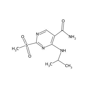 CC(C)Nc1nc(S(C)(=O)=O)ncc1C(N)=O